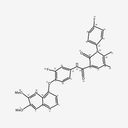 COc1cc2nccc(Oc3ccc(NC(=O)c4cc(C)c(C)n(-c5ccc(F)cc5)c4=O)cc3F)c2nc1OC